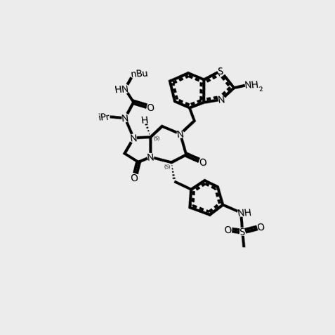 CCCCNC(=O)N(C(C)C)N1CC(=O)N2[C@@H](Cc3ccc(NS(C)(=O)=O)cc3)C(=O)N(Cc3cccc4sc(N)nc34)C[C@@H]21